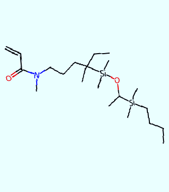 C=CC(=O)N(C)CCCC(C)(CC)[Si](C)(C)OC(C)[Si](C)(C)CCCC